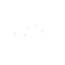 CC1(C)CC[C@]2(C)CC[C@@H]3[C@]4(C)CC[C@H]5C(C)(C)CCC[C@]5(C)[C@H]4CC[C@@]3(C)[C@@H]2C1